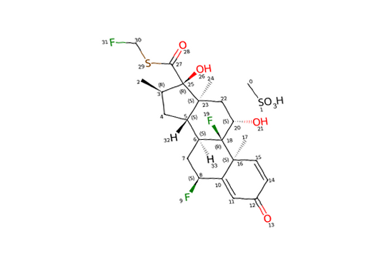 CS(=O)(=O)O.C[C@@H]1C[C@H]2[C@@H]3C[C@H](F)C4=CC(=O)C=C[C@]4(C)[C@@]3(F)[C@@H](O)C[C@]2(C)[C@@]1(O)C(=O)SCF